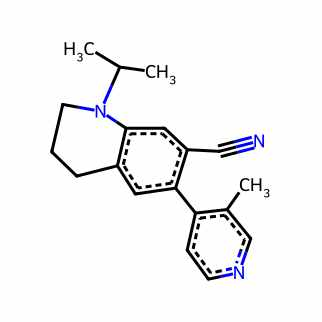 Cc1cnccc1-c1cc2c(cc1C#N)N(C(C)C)CCC2